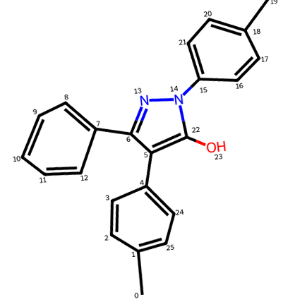 Cc1ccc(-c2c(-c3ccccc3)nn(-c3ccc(C)cc3)c2O)cc1